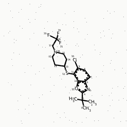 CC(C)(C)c1nc2ccc(Cl)c(SC3CCN(CC(F)(F)F)CC3)c2o1